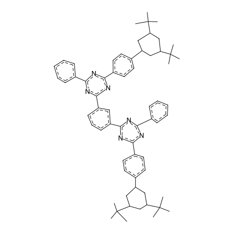 CC(C)(C)C1CC(c2ccc(-c3nc(-c4ccccc4)nc(-c4cccc(-c5nc(-c6ccccc6)nc(-c6ccc(C7CC(C(C)(C)C)CC(C(C)(C)C)C7)cc6)n5)c4)n3)cc2)CC(C(C)(C)C)C1